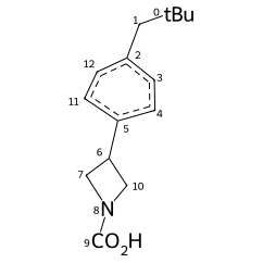 CC(C)(C)Cc1ccc(C2CN(C(=O)O)C2)cc1